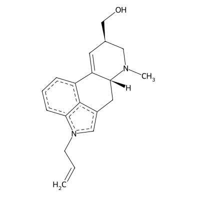 C=CCn1cc2c3c(cccc31)C1=C[C@@H](CO)CN(C)[C@@H]1C2